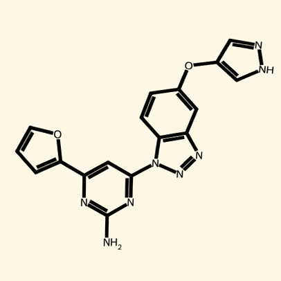 Nc1nc(-c2ccco2)cc(-n2nnc3cc(Oc4cn[nH]c4)ccc32)n1